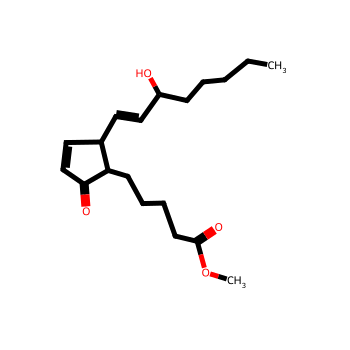 CCCCCC(O)C=CC1C=CC(=O)C1CCCCC(=O)OC